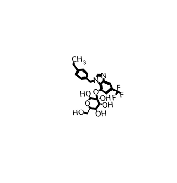 CCc1ccc(Cn2cnc3cc(C(F)(F)F)cc(O[C@]4(O)[C@@H](O)O[C@H](CO)[C@@H](O)[C@@H]4O)c32)cc1